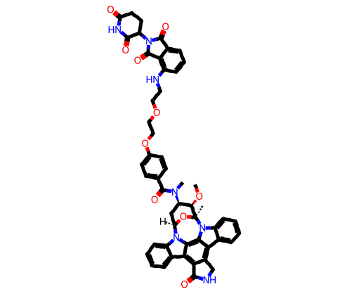 CO[C@@H]1[C@H](N(C)C(=O)c2ccc(OCCOCCNc3cccc4c3C(=O)N(C3CCC(=O)NC3=O)C4=O)cc2)C[C@H]2O[C@]1(C)n1c3ccccc3c3c4c(c5c6ccccc6n2c5c31)C(=O)NC4